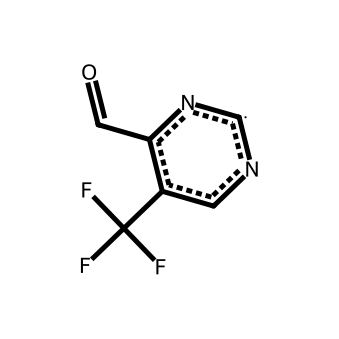 O=Cc1n[c]ncc1C(F)(F)F